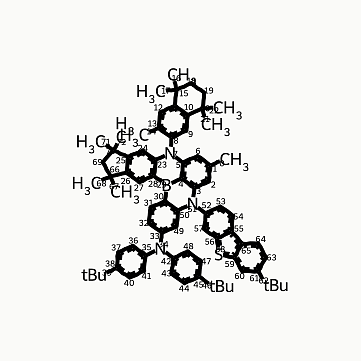 Cc1cc2c3c(c1)N(c1cc4c(cc1C)C(C)(C)CCC4(C)C)c1cc4c(cc1B3c1ccc(N(c3ccc(C(C)(C)C)cc3)c3ccc(C(C)(C)C)cc3)cc1N2c1ccc2c(c1)sc1cc(C(C)(C)C)ccc12)C(C)(C)CC4(C)C